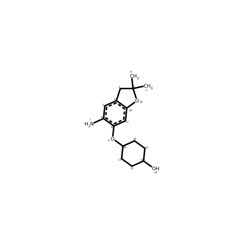 CC1(C)Cc2cc(N)c(OC3CCC(O)CC3)cc2O1